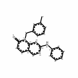 Cc1cccc(Cn2c(=O)ccc3cnc(Nc4ccccc4)nc32)c1